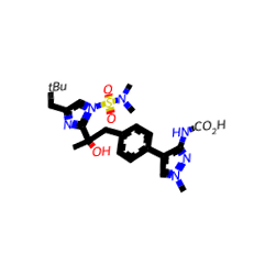 CN(C)S(=O)(=O)n1cc(CC(C)(C)C)nc1C(C)(O)Cc1ccc(-c2cn(C)nc2NC(=O)O)cc1